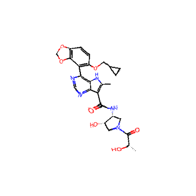 Cc1[nH]c2c(-c3c(OCC4CC4)ccc4c3OCO4)ncnc2c1C(=O)N[C@@H]1CN(C(=O)[C@H](C)O)C[C@@H]1O